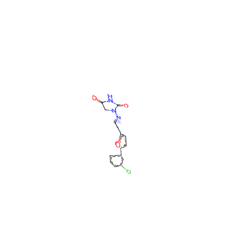 O=C1CN(/N=C/c2ccc(-c3cccc(Cl)c3)o2)C(=O)N1